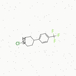 FC(F)(F)c1ccc(C2CC[SiH](Cl)CC2)cc1